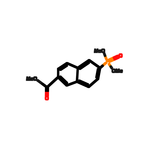 COC(=O)c1ccc2cc(P(=O)(OC)OC)ccc2c1